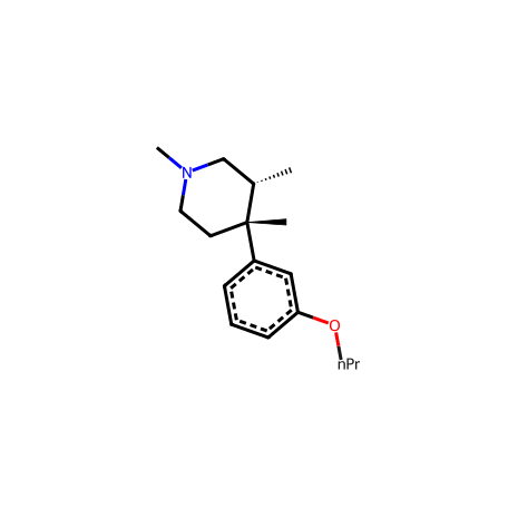 CCCOc1cccc([C@]2(C)CCN(C)C[C@@H]2C)c1